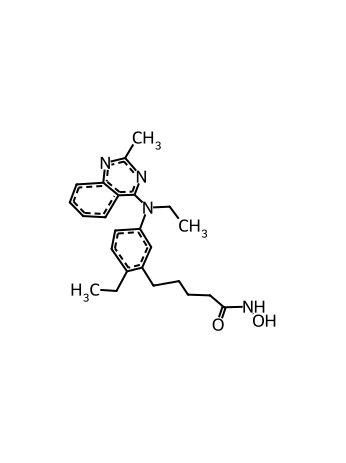 CCc1ccc(N(CC)c2nc(C)nc3ccccc23)cc1CCCCC(=O)NO